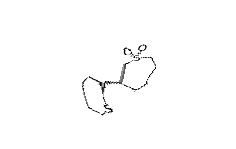 O=S1(=O)CC[CH]C(C2CCCCS2)C1